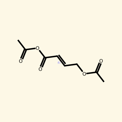 CC(=O)OC/C=C/C(=O)OC(C)=O